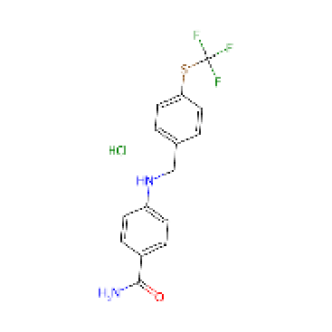 Cl.NC(=O)c1ccc(NCc2ccc(SC(F)(F)F)cc2)cc1